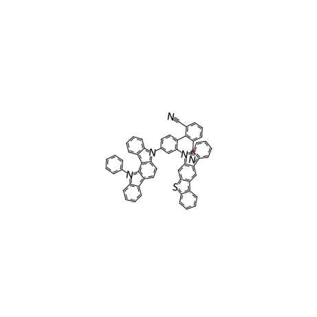 N#Cc1cccc(C#N)c1-c1ccc(-n2c3ccccc3c3c2ccc2c4ccccc4n(-c4ccccc4)c23)cc1-n1c2ccccc2c2cc3c(cc21)sc1ccccc13